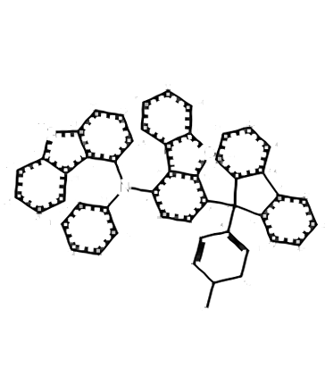 CC1C=CC(C2(c3ccc(N(c4ccccc4)c4cccc5sc6ccccc6c45)c4c3oc3ccccc34)c3ccccc3-c3ccccc32)=CC1